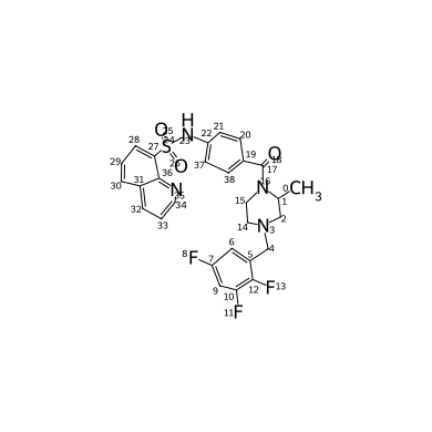 CC1CN(Cc2cc(F)cc(F)c2F)CCN1C(=O)c1ccc(NS(=O)(=O)c2cccc3cccnc23)cc1